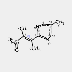 C/C(=C(/C)[SH](=O)=O)c1ncc(C)cn1